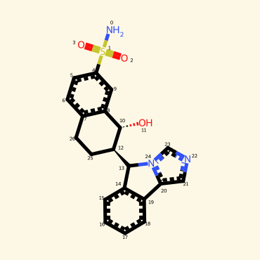 NS(=O)(=O)c1ccc2c(c1)[C@H](O)[C@@H](C1c3ccccc3-c3cncn31)CC2